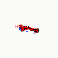 CC[C@@]1(O)C(=O)OCc2c1cc1n(c2=O)Cc2c-1nc1cc(F)c(C)c3c1c2[C@@H](NC(=O)COC1CCCN1C(=O)CNC(=O)CCOCCOCCOCCOCCNC(=O)CCC(=O)N1Cc2ccccc2/C(C)=C\c2ccccc21)CC3